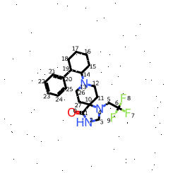 O=C1NCN(CC(F)(F)F)C12CCN(C1CCCCC1c1ccccc1)CC2